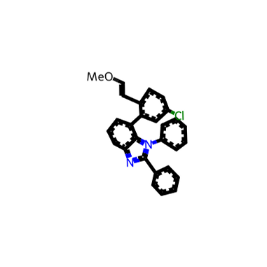 COC=Cc1ccc(Cl)cc1-c1cccc2nc(-c3ccccc3)n(-c3ccccc3)c12